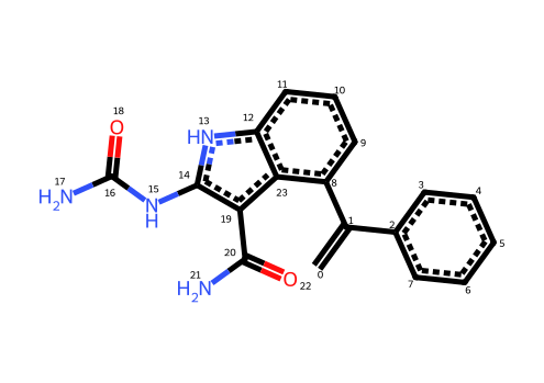 C=C(c1ccccc1)c1cccc2[nH]c(NC(N)=O)c(C(N)=O)c12